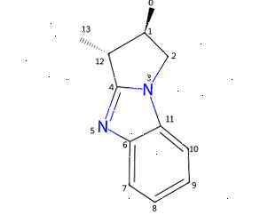 C[C@H]1Cn2c(nc3ccccc32)[C@@H]1C